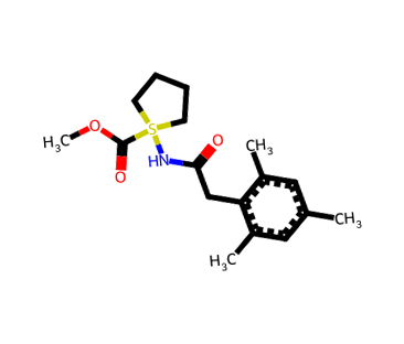 COC(=O)S1(NC(=O)Cc2c(C)cc(C)cc2C)CCCC1